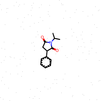 CC(C)N1C(=O)CC(c2ccccc2)C1=O